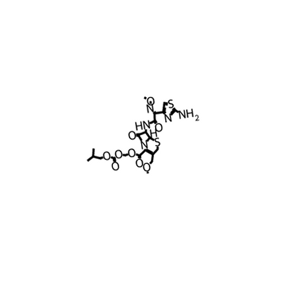 COCC1=C(C(=O)OCOC(=O)OCC(C)C)N2C(=O)C(NC(=O)C(=NOC)c3csc(N)n3)[C@@H]2SC1